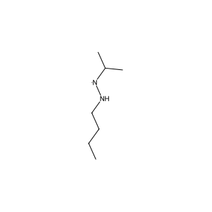 CCCCN[N]C(C)C